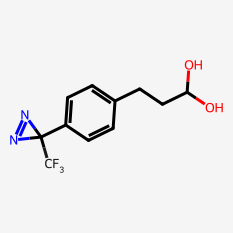 OC(O)CCc1ccc(C2(C(F)(F)F)N=N2)cc1